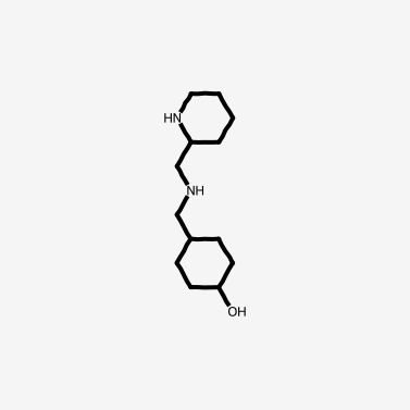 OC1CCC(CNCC2CCCCN2)CC1